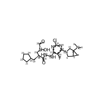 CN(C)C12CC1CN(c1nc(Cl)nc(NNC(=O)[C@@H](CC3CCCC3)CN(O)C=O)c1F)C2